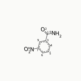 NC(=O)c1c[c]cc([N+](=O)[O-])c1